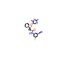 Cc1ncc(OC[C@@]2(C3C=CC=CC3)C[C@H]2C(=O)Nc2cc(F)cc(C#N)c2)c(C)n1